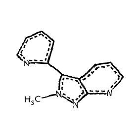 Cn1nc2ncccc2c1-c1ccccn1